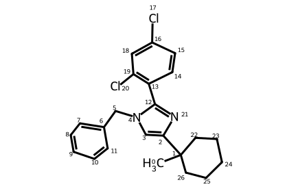 CC1(c2cn(Cc3ccccc3)c(-c3ccc(Cl)cc3Cl)n2)CCCCC1